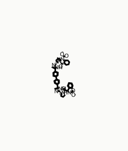 COC(=O)N[C@@H](C(=O)N1CCC[C@H]1c1ncc(-c2ccc(-c3ccc(-c4cnc([C@@H]5CCCN5C(=O)[C@H]5CCCC[C@H]5NC(=O)OC)[nH]4)cc3)cc2)[nH]1)c1ccccc1